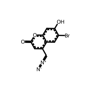 [N-]=[N+]=Cc1cc(=O)oc2cc(O)c(Br)cc12